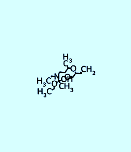 C=CC(C=O)OC(C)CCN(CC)C(C)(O)OCC